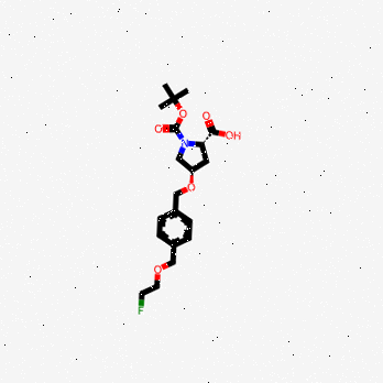 CC(C)(C)OC(=O)N1C[C@H](OCc2ccc(COCCF)cc2)C[C@H]1C(=O)O